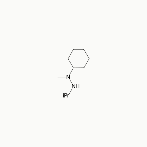 CC(C)NN(C)C1CCCCC1